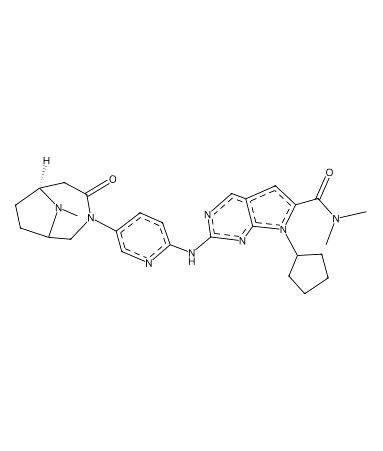 CN(C)C(=O)c1cc2cnc(Nc3ccc(N4CC5CC[C@@H](CC4=O)N5C)cn3)nc2n1C1CCCC1